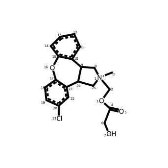 C[N+]1(COC(=O)CO)CC2c3ccccc3Oc3ccc(Cl)cc3C2C1